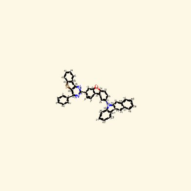 c1ccc(-c2nc(-c3ccc4c(c3)oc3ccc(-n5c6ccccc6c6cc7ccccc7cc65)cc34)nc3c2sc2ccccc23)cc1